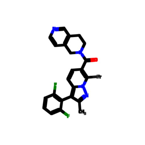 Cc1nn2c(C(C)C)c(C(=O)N3CCc4cnccc4C3)ccc2c1-c1c(F)cccc1F